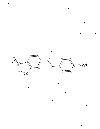 O=C(O)c1ccc(COc2ccc3c(c2)CCC3=O)cc1